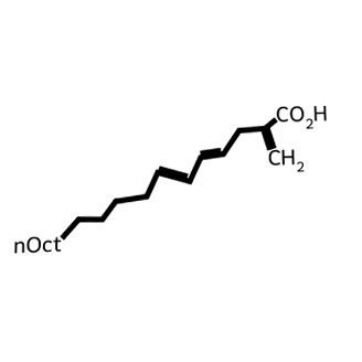 C=C(CC=CC=CCCCCCCCCCCCC)C(=O)O